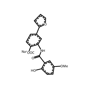 COc1ccc(O)c(C(=O)Nc2cc(-c3ccco3)ccc2C(=O)[O-])c1.[Na+]